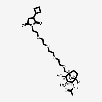 CC(=O)N[C@H]1[C@@H](O)[C@@H](O)[C@]2(COCCOCCOCCOCCN3C(=O)CC(C4CCC4)C3=O)CC[C@H]1O2